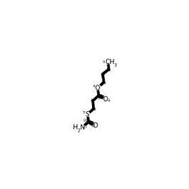 CCCCOC(=O)CCSC(N)=O